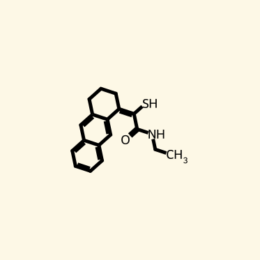 CCNC(=O)/C(S)=C1/CCCc2cc3ccccc3cc21